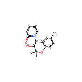 CC1(C)Oc2ccc(C(F)(F)F)cc2C(n2ccccc2=O)C1O